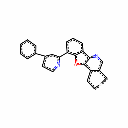 c1ccc(-c2ccnc(-c3cccc4c3oc3c5ccccc5cnc43)c2)cc1